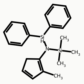 CC1=C(N([SiH](c2ccccc2)c2ccccc2)[Si](C)(C)C)CC=C1